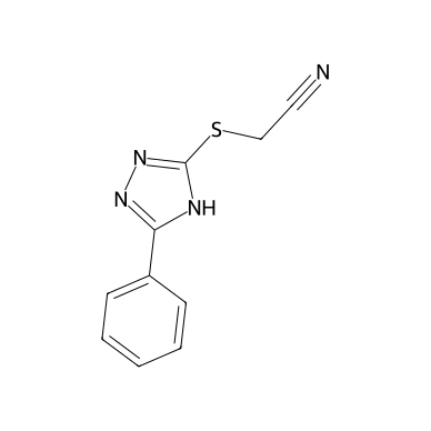 N#CCSc1nnc(-c2ccccc2)[nH]1